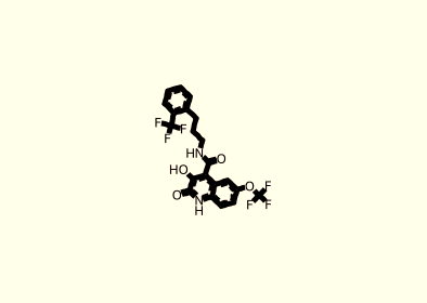 O=C(NCCCc1ccccc1C(F)(F)F)c1c(O)c(=O)[nH]c2ccc(OC(F)(F)F)cc12